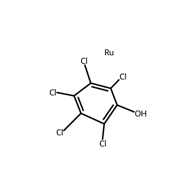 Oc1c(Cl)c(Cl)c(Cl)c(Cl)c1Cl.[Ru]